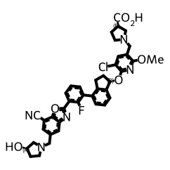 COc1nc(O[C@@H]2CCc3c(-c4cccc(-c5nc6cc(CN7CC[C@@H](O)C7)cc(C#N)c6o5)c4F)cccc32)c(Cl)cc1CN1CC[C@@H](C(=O)O)C1